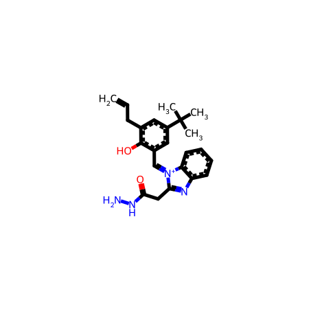 C=CCc1cc(C(C)(C)C)cc(C=[N+]2C(CC(=O)NN)=Nc3ccccc32)c1O